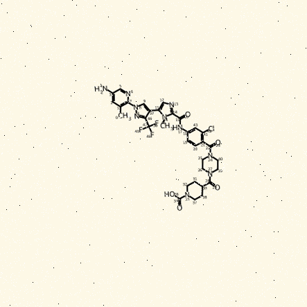 Cc1cc(N)cnc1-n1cc(-c2cnc(C(=O)Nc3ccc(C(=O)N4CCN(C(=O)C5CCN(C(=O)O)CC5)CC4)c(Cl)c3)n2C)c(C(F)(F)F)n1